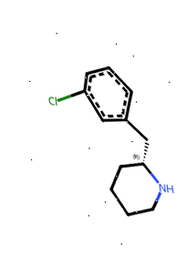 Clc1cccc(C[C@H]2CCCCN2)c1